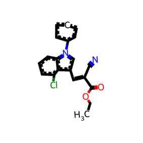 CCOC(=O)/C(C#N)=C/c1cn(-c2ccccc2)c2cccc(Cl)c12